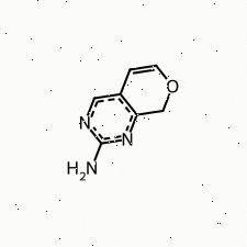 Nc1ncc2c(n1)COC=C2